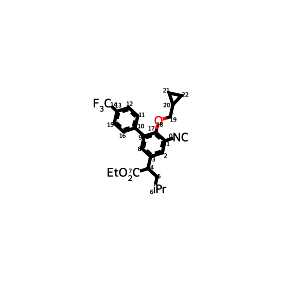 [C-]#[N+]c1cc(C(CC(C)C)C(=O)OCC)cc(-c2ccc(C(F)(F)F)cc2)c1OCC1CC1